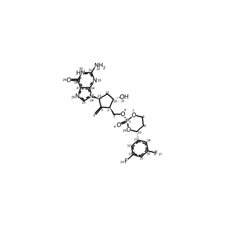 C=C1[C@H](CO[P@]2(=O)OCC[C@H](c3cc(F)cc(F)c3)O2)[C@@H](O)C[C@@H]1n1cnc2c(=O)[nH]c(N)nc21